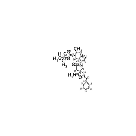 CC1Cn2ncc(N3CC(COCc4ccccc4)(C(N)=O)CC3=O)c2CN1C(=O)OC(C)(C)C